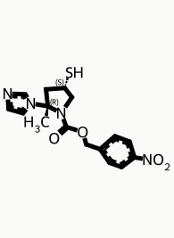 C[C@@]1(n2ccnc2)C[C@H](S)CN1C(=O)OCc1ccc([N+](=O)[O-])cc1